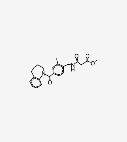 COC(=O)CC(=O)NCc1ccc(C(=O)N2CCCCc3ccccc32)cc1C